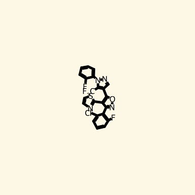 Fc1ccccc1-n1ncc(-c2onc(-c3c(F)cccc3Cl)c2-c2nccs2)c1C(F)(F)F